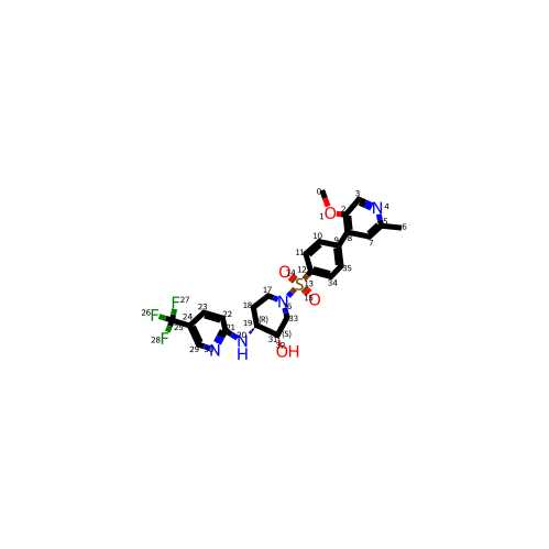 COc1cnc(C)cc1-c1ccc(S(=O)(=O)N2CC[C@@H](Nc3ccc(C(F)(F)F)cn3)[C@@H](O)C2)cc1